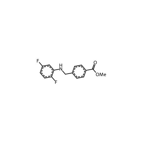 COC(=O)c1ccc(CNc2cc(F)ccc2F)cc1